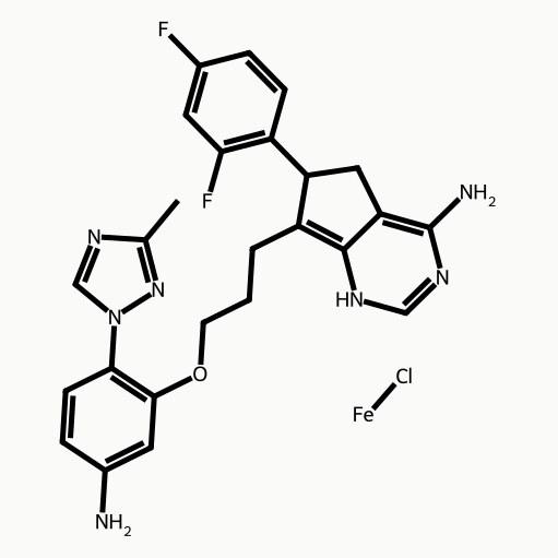 Cc1ncn(-c2ccc(N)cc2OCCCC2=C3NC=NC(N)=C3CC2c2ccc(F)cc2F)n1.[Cl][Fe]